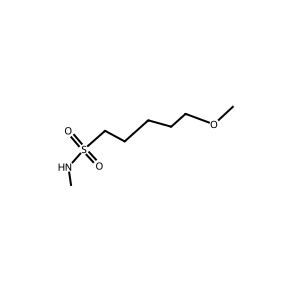 CNS(=O)(=O)CCCCCOC